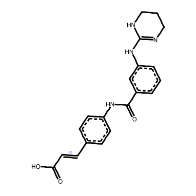 O=C(O)/C=C/c1ccc(NC(=O)c2cccc(NC3=NCCCN3)c2)cc1